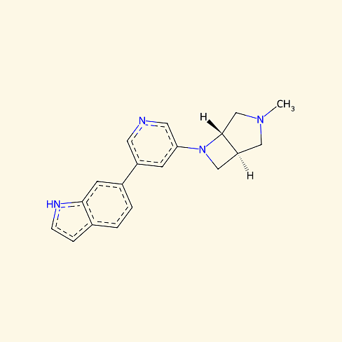 CN1C[C@H]2CN(c3cncc(-c4ccc5cc[nH]c5c4)c3)[C@@H]2C1